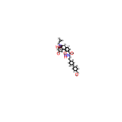 O=Cc1ccc(-c2ccc(CCNC(=O)c3ccc4c(c3O)[C@]35CCN(CC6CC6)C(C4)[C@]3(O)CCC(=O)C5)cc2)cc1